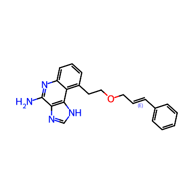 Nc1nc2cccc(CCOC/C=C/c3ccccc3)c2c2[nH]cnc12